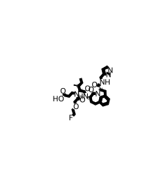 CC[C@H](C)[C@@H](C(=O)N[C@H]1CCc2cccc3c2N(C1=O)[C@H](C(=O)NCC1=CCN=N1)C3)N(CCC(=O)O)C(=O)COCCF